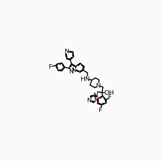 OC(CN1CCC(NCc2ccc3c(-c4ccncc4)c(-c4ccc(F)cc4)nn3c2)CC1)(Cn1cncn1)c1ccc(F)cc1F